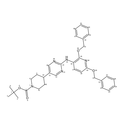 CC(C)(C)OC(=O)N1CCC(c2cnc(Nc3ccc(OCc4ccccc4)nc3OCc3ccccc3)nc2)CC1